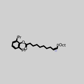 CCCCCCCC/C=C\CCCCCCCC(=O)Oc1c(C(C)C)cccc1C(C)C